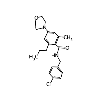 CCCc1cc(N2CCOCC2)cc(C)c1C(=O)NCc1ccc(Cl)cc1